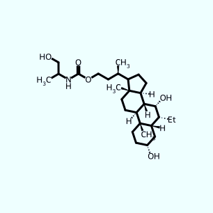 CC[C@H]1[C@@H](O)[C@@H]2[C@H](CC[C@]3(C)C([C@H](C)CCOC(=O)NC(C)CO)CC[C@@H]23)[C@@]2(C)CC[C@@H](O)C[C@@H]12